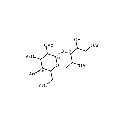 CC(=O)OCC(O)[C@@H](O[C@@H]1OC(COC(C)=O)[C@@H](OC(C)=O)C(OC(C)=O)C1OC(C)=O)C(C)OC(C)=O